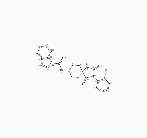 O=C(N[C@H]1CC[C@]2(CC1)NC(=O)N(c1ccccc1Cl)C2=O)c1cnn2cccnc12